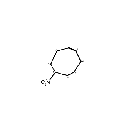 O=[N+]([O-])C1C[CH]CCCCC1